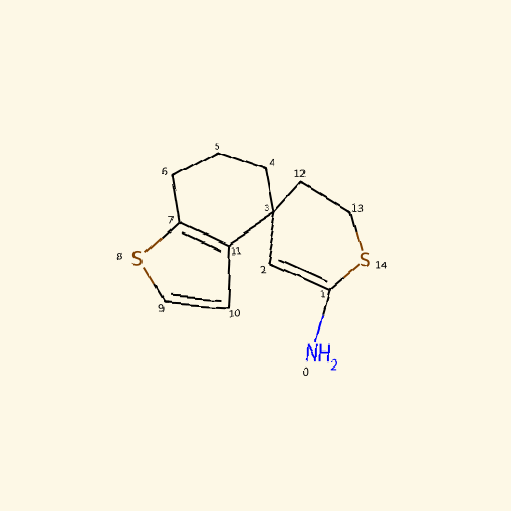 NC1=CC2(CCCc3sccc32)CCS1